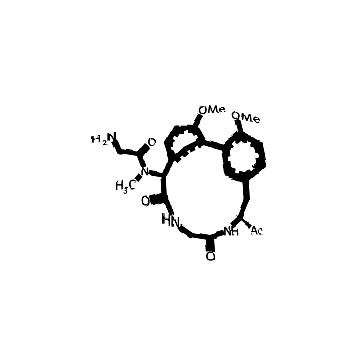 COc1ccc2cc1-c1cc(ccc1OC)C(N(C)C(=O)CN)C(=O)NCC(=O)N[C@H](C(C)=O)C2